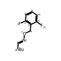 CCCCC=NOCc1c(F)cccc1F